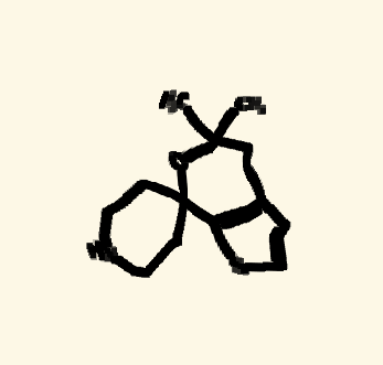 CC1(C)Cc2ccsc2C2(CCNCC2)O1